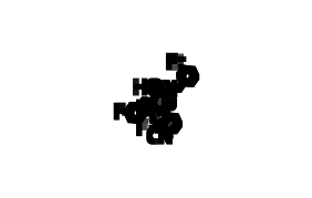 CCc1cccc(CNC[C@@H](O)[C@H](Cc2cc(F)cc(F)c2)NC(=O)c2cccnc2SCC#N)c1